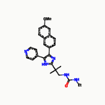 CCNC(=O)NCC(C)(C)c1nc(-c2ccc3cc(OC)ccc3c2)c(-c2ccncc2)[nH]1